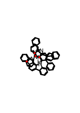 c1ccc(C2=NC(c3ccccc3)NC(n3c4ccccc4c4ccc5c6ccccc6n(-c6c(-c7ccccc7)c(-c7ccccc7)cc7c8ccccc8n(-c8ccccc8)c67)c5c43)=N2)cc1